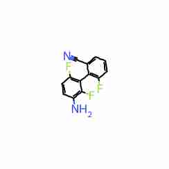 N#Cc1cccc(F)c1-c1c(F)ccc(N)c1F